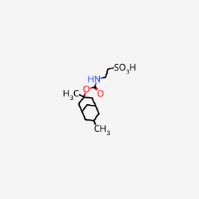 CC1CC2CC(C1)CC(C)(OC(=O)NCCS(=O)(=O)O)C2